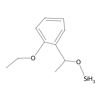 CCOc1ccccc1C(C)O[SiH3]